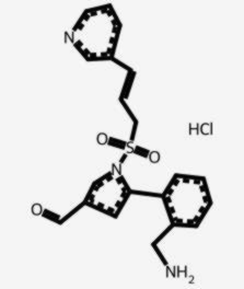 Cl.NCc1ccccc1-c1cc(C=O)cn1S(=O)(=O)CC=Cc1cccnc1